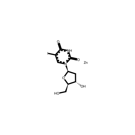 O=c1[nH]c(=O)n([C@H]2C[C@H](O)[C@@H](CO)O2)cc1I.[Zn]